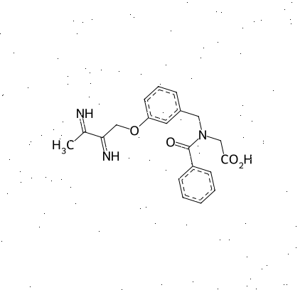 CC(=N)C(=N)COc1cccc(CN(CC(=O)O)C(=O)c2ccccc2)c1